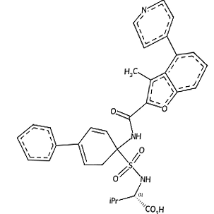 Cc1c(C(=O)NC2(S(=O)(=O)N[C@H](C(=O)O)C(C)C)C=CC(c3ccccc3)=CC2)oc2cccc(-c3ccncc3)c12